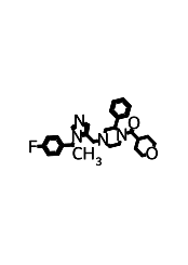 C[C@H](c1ccc(F)cc1)n1cncc1CN1CCN(C(=O)C2CCOCC2)C(c2ccccc2)C1